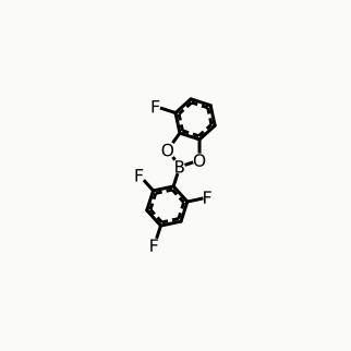 Fc1cc(F)c(B2Oc3cccc(F)c3O2)c(F)c1